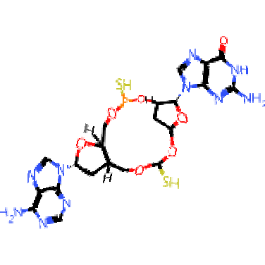 Nc1nc2c(ncn2[C@@H]2OC3C[C@@H]2OP(S)OC[C@H]2O[C@@H](n4cnc5c(N)ncnc54)C[C@H]2COC(S)O3)c(=O)[nH]1